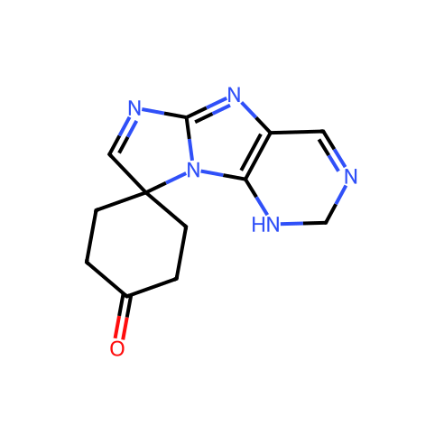 O=C1CCC2(C=Nc3nc4c(n32)NCN=C4)CC1